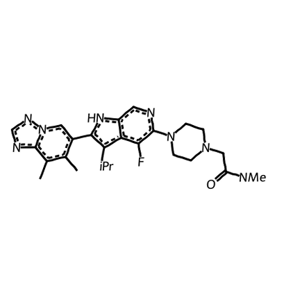 CNC(=O)CN1CCN(c2ncc3[nH]c(-c4cn5ncnc5c(C)c4C)c(C(C)C)c3c2F)CC1